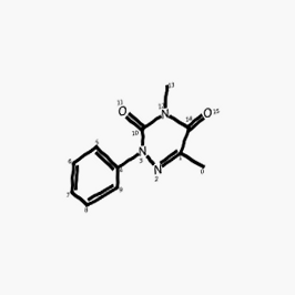 Cc1nn(-c2ccccc2)c(=O)n(C)c1=O